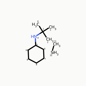 CC(C)(C)NC1CCCCC1.C[SiH3]